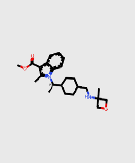 COC(=O)c1c(C)n([C@H](C)C2CCC(CNC3(C)COC3)CC2)c2ccccc12